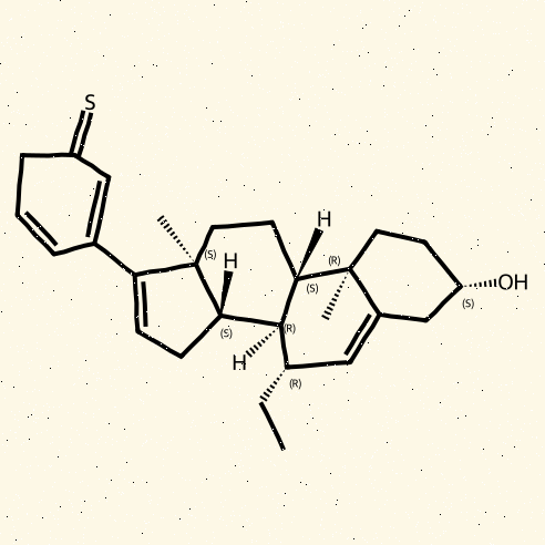 CC[C@H]1C=C2C[C@@H](O)CC[C@]2(C)[C@H]2CC[C@]3(C)C(C4=CC(=S)CC=C4)=CC[C@H]3[C@H]12